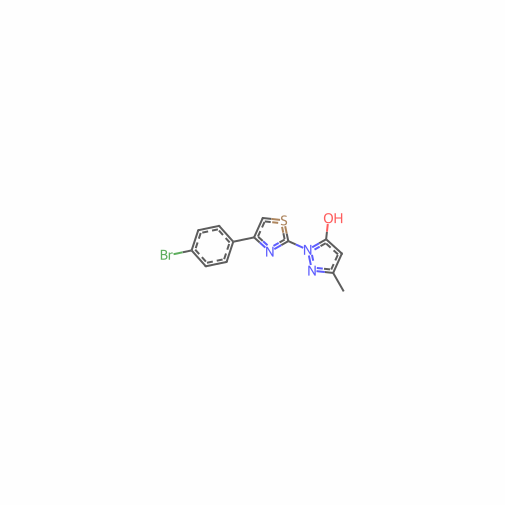 Cc1cc(O)n(-c2nc(-c3ccc(Br)cc3)cs2)n1